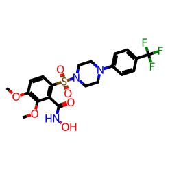 COc1ccc(S(=O)(=O)N2CCN(c3ccc(C(F)(F)F)cc3)CC2)c(C(=O)NO)c1OC